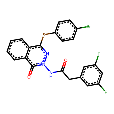 O=C(Cc1cc(F)cc(F)c1)Nn1nc(Sc2ccc(Br)cc2)c2ccccc2c1=O